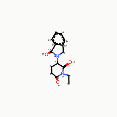 CCN1C(=O)CCC(N2Cc3ccccc3C2=O)C1=O